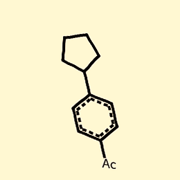 CC(=O)c1ccc(C2CCCC2)cc1